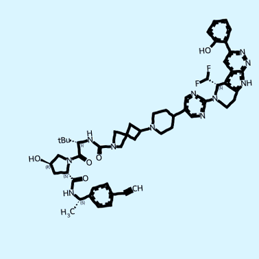 C#Cc1ccc([C@H](C)NC(=O)[C@@H]2C[C@@H](O)CN2C(=O)[C@@H](NC(=O)N2CC3(CC(N4CCC(c5cnc(N6CCc7[nH]c8nnc(-c9ccccc9O)cc8c7[C@H]6C(F)F)nc5)CC4)C3)C2)C(C)(C)C)cc1